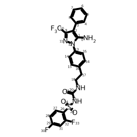 Nc1c(-c2ccccc2)c(C(F)(F)F)nn1-c1ccc(CCNC(=O)NS(=O)(=O)c2ccc(F)cc2F)cc1